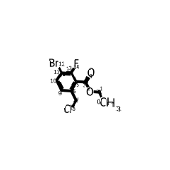 CCOC(=O)c1c(CCl)ccc(Br)c1F